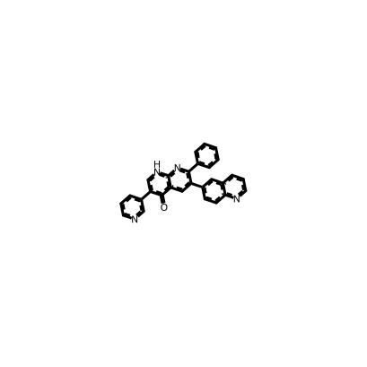 O=c1c(-c2cccnc2)c[nH]c2nc(-c3ccccc3)c(-c3ccc4ncccc4c3)cc12